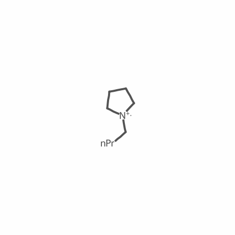 CCCC[N+]1CCCC1